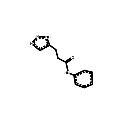 O=C(CCc1cnn[nH]1)Nc1ccccc1